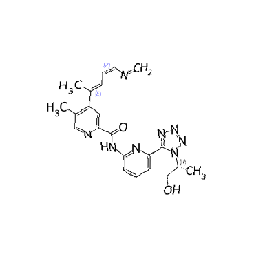 C=N/C=C\C=C(/C)c1cc(C(=O)Nc2cccc(-c3nnnn3[C@H](C)CO)n2)ncc1C